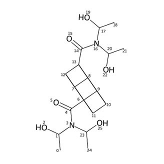 CC(O)N(C(=O)C12C3C4C1C1C2C3C41C(=O)N(C(C)O)C(C)O)C(C)O